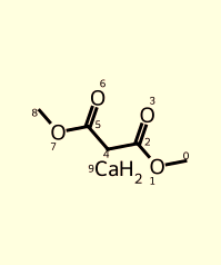 COC(=O)CC(=O)OC.[CaH2]